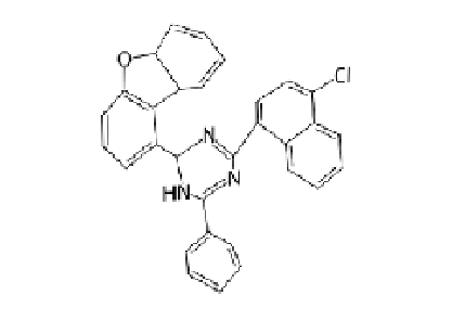 Clc1ccc(C2=NC(c3cccc4c3C3C=CC=CC3O4)NC(c3ccccc3)=N2)c2ccccc12